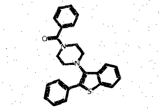 O=C(c1ccccc1)N1CCN(c2c(-c3ccccc3)sc3ccccc23)CC1